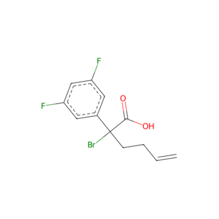 C=CCCC(Br)(C(=O)O)c1cc(F)cc(F)c1